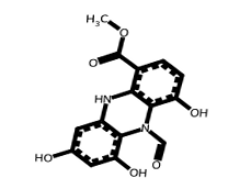 COC(=O)c1ccc(O)c2c1Nc1cc(O)cc(O)c1N2C=O